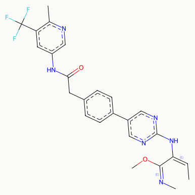 C/C=C(Nc1ncc(-c2ccc(CC(=O)Nc3cnc(C)c(C(F)(F)F)c3)cc2)cn1)\C(=N/C)OC